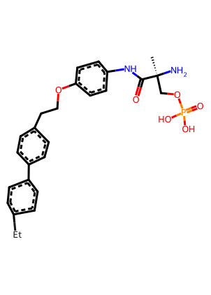 CCc1ccc(-c2ccc(CCOc3ccc(NC(=O)[C@@](C)(N)COP(=O)(O)O)cc3)cc2)cc1